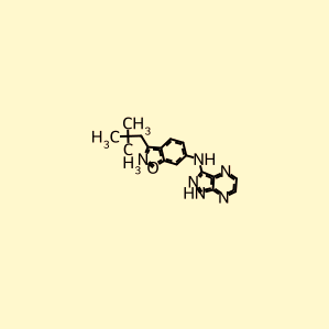 CC(C)(C)Cc1noc2cc(Nc3n[nH]c4nccnc34)ccc12